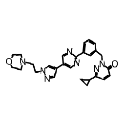 O=c1ccc(C2CC2)nn1Cc1cccc(-c2ncc(-c3cnn(CCN4CCOCC4)c3)cn2)c1